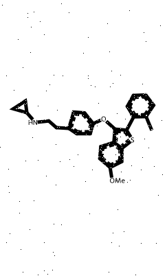 COc1ccc2c(Oc3ccc(CCNC4CC4)cc3)c(-c3ccccc3C)sc2c1